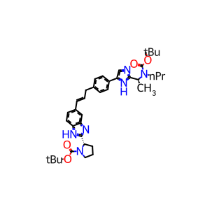 CCCN(C(=O)OC(C)(C)C)[C@@H](C)c1ncc(-c2ccc(CC=Cc3ccc4[nH]c([C@@H]5CCCN5C(=O)OC(C)(C)C)nc4c3)cc2)[nH]1